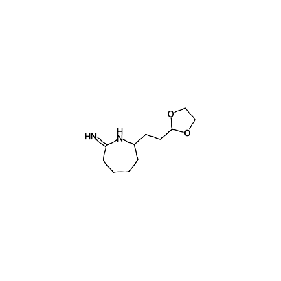 N=C1CCCCC(CCC2OCCO2)N1